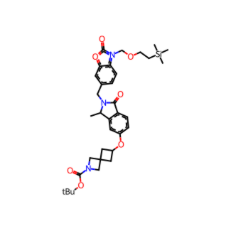 CC1c2cc(OC3CC4(C3)CN(C(=O)OC(C)(C)C)C4)ccc2C(=O)N1Cc1ccc2c(c1)oc(=O)n2COCC[Si](C)(C)C